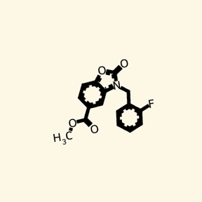 COC(=O)c1ccc2oc(=O)n(Cc3ccccc3F)c2c1